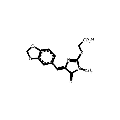 CN1C(=O)/C(=C/c2ccc3c(c2)OCO3)N=C1SCC(=O)O